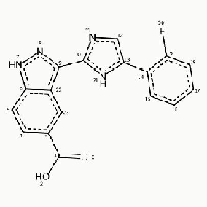 O=C(O)c1ccc2[nH]nc(-c3ncc(-c4ccccc4F)[nH]3)c2c1